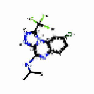 CC(C)Nc1nc2ccc(Cl)cc2n2c(C(F)(F)F)nnc12